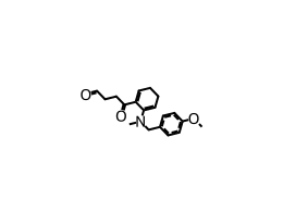 COc1ccc(CN(C)C2=CCCC=C2C(=O)CCC=O)cc1